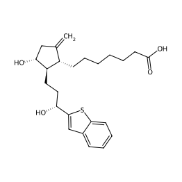 C=C1C[C@@H](O)[C@H](CC[C@@H](O)c2cc3ccccc3s2)[C@H]1CCCCCCC(=O)O